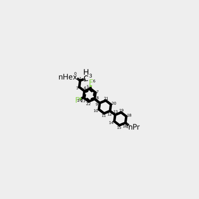 CCCCCCC(C)Cc1c(F)cc(C2CCC(C3CCC(CCC)CC3)CC2)cc1F